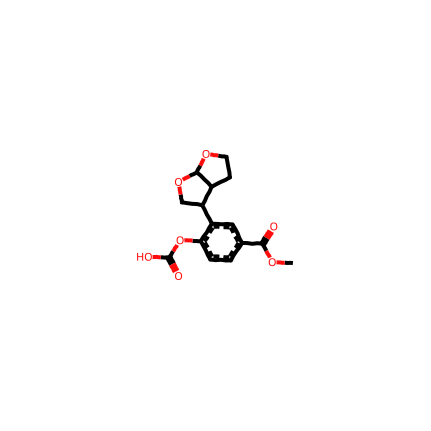 COC(=O)c1ccc(OC(=O)O)c(C2COC3OCCC32)c1